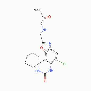 COC(=O)CNCc1nc2cc(Cl)c3c(c2o1)C1(CCCCC1)NC(=O)N3